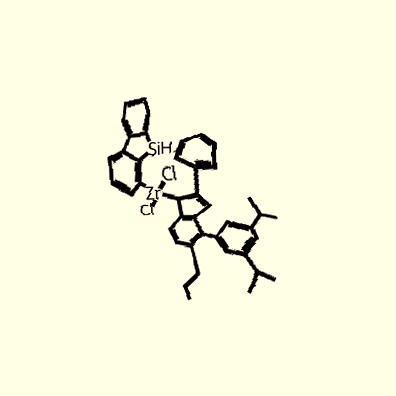 CCCc1ccc2c(c1-c1cc(C(C)C)cc(C(C)C)c1)C=C(c1ccccc1)[CH]2[Zr]([Cl])([Cl])[c]1cccc2c1[SiH2]c1ccccc1-2